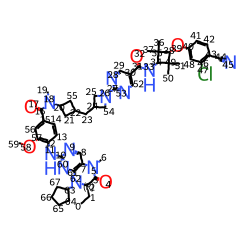 CC[C@@H]1C(=O)N(C)c2cnc(Nc3ccc(C(=O)N(C)C4CC(CC5CN(c6ncc(C(=O)NC7C(C)(C)C(Oc8ccc(C#N)c(Cl)c8)C7(C)C)cn6)C5)C4)cc3OC)nc2N1C1CCCC1